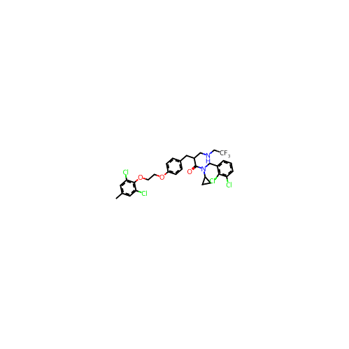 Cc1cc(Cl)c(OCCOc2ccc(CC(CNCC(F)(F)F)C(=O)N(Cc3cccc(Cl)c3Cl)C3CC3)cc2)c(Cl)c1